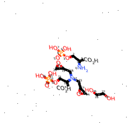 NC(COP(=O)(O)O)C(=O)O.O=C(O)C(COP(=O)(O)O)N(CC1CO1)CC1CO1.OCCO